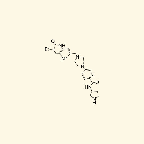 CCc1cc2ncc(CN3CCN(c4ccc(C(=O)N[C@H]5CCNC5)nc4)CC3)cc2[nH]c1=O